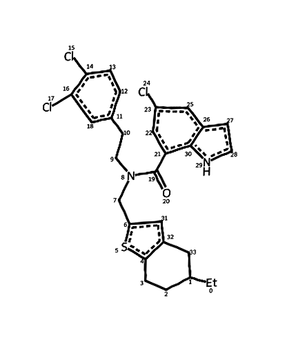 CCC1CCc2sc(CN(CCc3ccc(Cl)c(Cl)c3)C(=O)c3cc(Cl)cc4cc[nH]c34)cc2C1